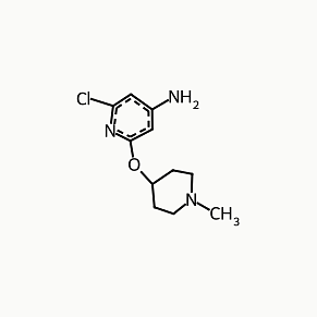 CN1CCC(Oc2cc(N)cc(Cl)n2)CC1